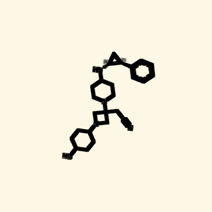 N#CCC1(N2CCC(N[C@@H]3C[C@H]3c3ccccc3)CC2)CN(C2CCC(O)CC2)C1